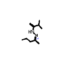 C=C(N/N=C(/C)CCC)C(C)C